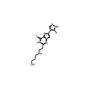 Cc1[nH]ncc1-c1cc2nc(CCNCCCO)[nH]c(=O)c2s1